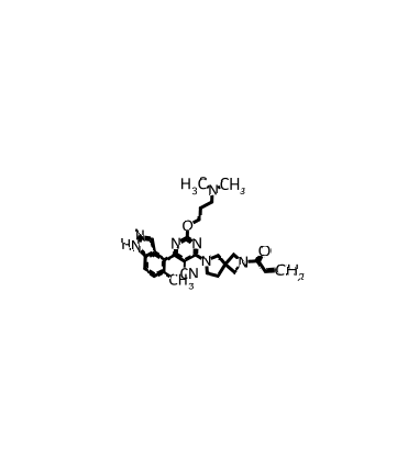 C=CC(=O)N1CC2(CCN(c3nc(OCCCN(C)C)nc(-c4c(C)ccc5[nH]ncc45)c3C#N)C2)C1